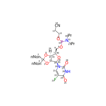 CCCCCCCCCC1(CCCCCCCCC)OC2[C@@H](O1)[C@@H](COP(OCCC#N)N(C(C)C)C(C)C)O[C@H]2n1cc(F)c(=O)[nH]c1=O